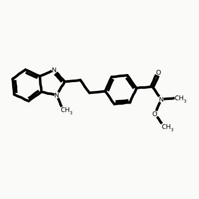 CON(C)C(=O)c1ccc(CCc2nc3ccccc3n2C)cc1